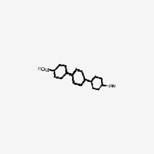 CCCCCCCCC1CCC(C2CCC(C3CCC(CCCC)CC3)CC2)CC1